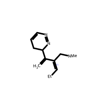 C=C(/C(=C\CC)CNC)C1CC=CN=N1